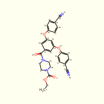 CCOC(=O)N1CCN(C(=O)c2cc(Oc3ccc(C#N)cc3)cc(Oc3ccc(C#N)cc3)c2)CC1